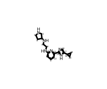 c1cc(NCCNC2CCNC2)nc(-c2ncc(C3CC3)[nH]2)c1